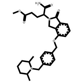 COC(=O)CCC(C(N)=O)N1Cc2c(OCc3ccc(CN4C(C)CCCC4C)cc3)cccc2C1=O